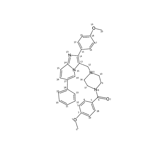 COc1ccc(C(=O)N2CCN(Cc3c(-c4ccc(OC)cc4)nc4ccc(-c5ccccc5)cn34)CC2)cc1